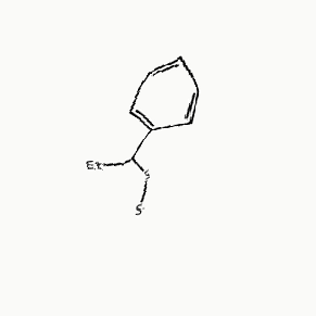 CCC(S[S])c1ccccc1